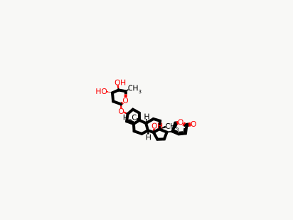 C[C@@H]1O[C@@H](O[C@@H]2C=C3CC[C@@H]4[C@H](CC[C@]5(C)[C@@H](c6ccc(=O)oc6)CC[C@]45O)[C@@]3(C)CC2)C[C@H](O)[C@H]1O